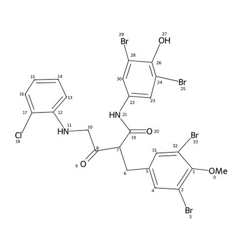 COc1c(Br)cc(CC(C(=O)CNc2ccccc2Cl)C(=O)Nc2cc(Br)c(O)c(Br)c2)cc1Br